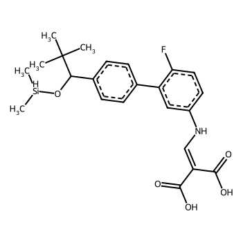 C[SiH](C)OC(c1ccc(-c2cc(NC=C(C(=O)O)C(=O)O)ccc2F)cc1)C(C)(C)C